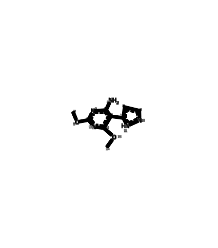 COc1nc(N)c(-c2ccn[nH]2)c(OC)n1